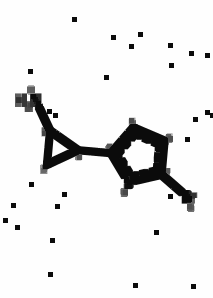 NC1CC1c1ccc(Br)s1